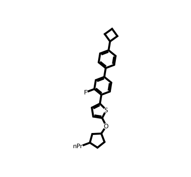 CCCC1CCC(Oc2ccc(-c3ccc(-c4ccc(C5CCC5)cc4)cc3F)s2)C1